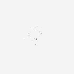 C=CC1=C(C)C2=NC1=CC1=NC(=CC3=C(CC)C4=C([O-])CC(=C5NC(=C2)[C@@H](C)[C@@H]5CCC(=O)[O-])C4=N3)C(CCC)=C1C.[Mg+2]